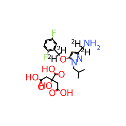 O=C(O)CC(O)(CC(=O)O)C(=O)O.[2H]C([2H])(N)c1cc(OC([2H])([2H])c2cc(F)ccc2F)n(CC(C)C)n1